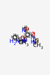 Cc1csc(CNC(=O)c2cc(-c3ncco3)cc(-c3nnc(C(C)(N)Cc4ccccc4)o3)c2)n1